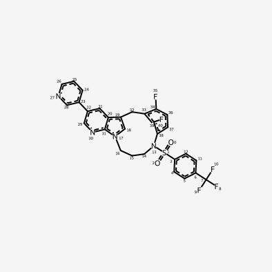 O=S(=O)(c1ccc(C(F)(F)F)cc1)N1CCCn2cc(c3cc(-c4cccnc4)cnc32)Cc2c(F)ccc1c2F